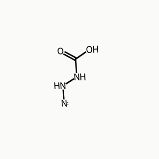 [N]NNC(=O)O